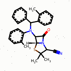 Cc1ccccc1C(c1ccccc1)N(c1ccccc1C)C1C(=O)N2C(C#N)C(C)(C)S[C@H]12